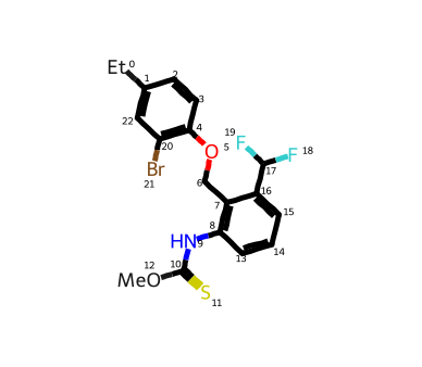 CCc1ccc(OCc2c(NC(=S)OC)cccc2C(F)F)c(Br)c1